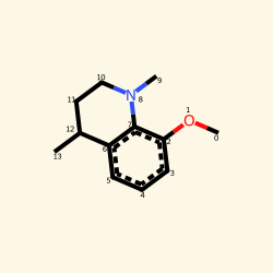 COc1cccc2c1N(C)CCC2C